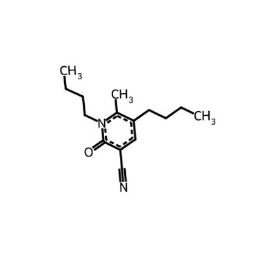 CCCCc1cc(C#N)c(=O)n(CCCC)c1C